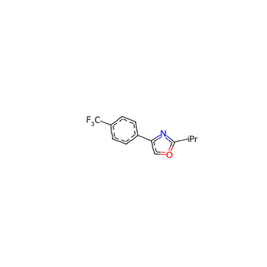 CC(C)c1nc(-c2ccc(C(F)(F)F)cc2)co1